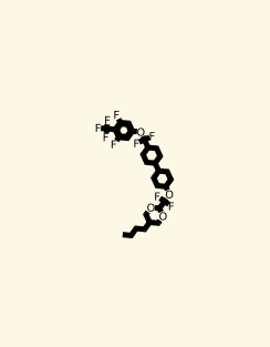 CCCCC1COC(C(F)(F)OC2CCC(C3CCC(C(F)(F)Oc4cc(F)c(C(F)(F)F)c(F)c4)CC3)CC2)OC1